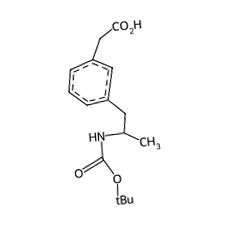 CC(Cc1cccc(CC(=O)O)c1)NC(=O)OC(C)(C)C